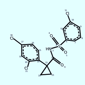 O=C(NS(=O)(=O)c1cccc(Cl)c1)C1(c2ccc(Cl)cc2Cl)CC1